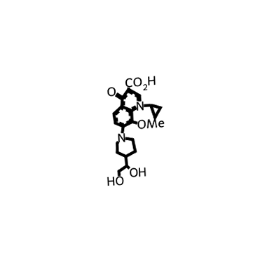 COc1c(N2CCC(C(O)CO)CC2)ccc2c(=O)c(C(=O)O)cn(C3CC3)c12